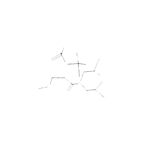 CO[C@H](C)[C@@H](C(=O)N1CC(C)OC(C)C1)N(C(=O)O)C(C)(C)C